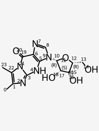 Cc1nc2[nH]c3c(ncn3[C@@H]3O[C@H](CO)[C@H](O)[C@@H]3O)c(=O)n2c1C